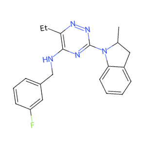 CCc1nnc(N2c3ccccc3CC2C)nc1NCc1cccc(F)c1